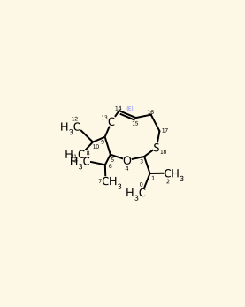 CC(C)C1OC(C(C)C)C(C(C)C)C/C=C/CCS1